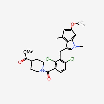 COC(=O)C1CCN(C(=O)c2ccc(Cl)c(Cc3cn(C)c4cc(OC(F)(F)F)cc(C)c34)c2Cl)CC1